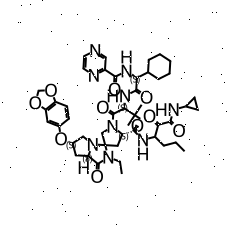 CCCC(NC(=O)[C@@H]1CC2(CN1C(=O)[C@@H](NC(=O)[C@@H](NC(=O)c1cnccn1)C1CCCCC1)C(C)(C)C)N(CC)C(=O)[C@@H]1C[C@H](Oc3ccc4c(c3)OCO4)CN12)C(=O)C(=O)NC1CC1